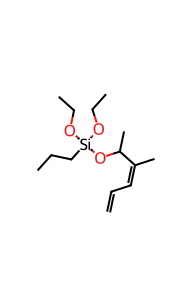 C=CC=C(C)C(C)O[Si](CCC)(OCC)OCC